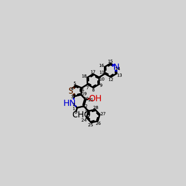 O=CC1Nc2scc(-c3ccc(-c4ccncc4)cc3)c2C(O)=C1c1ccccc1